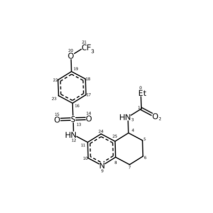 CCC(=O)NC1CCCc2ncc(NS(=O)(=O)c3ccc(OC(F)(F)F)cc3)cc21